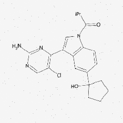 CC(C)C(=O)n1cc(-c2nc(N)ncc2Cl)c2cc(C3(O)CCCC3)ccc21